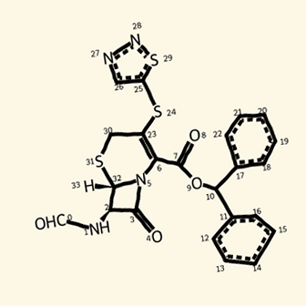 O=CN[C@@H]1C(=O)N2C(C(=O)OC(c3ccccc3)c3ccccc3)=C(Sc3cnns3)CS[C@@H]12